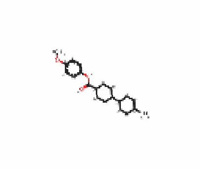 COc1ccc(OC(=O)C2CCC(C3CCC(C)CC3)CC2)cc1